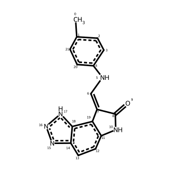 Cc1ccc(NC=C2C(=O)Nc3ccc4nn[nH]c4c32)cc1